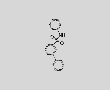 O=S(=O)(Nc1ccccc1)c1cccc(-c2ccccc2)c1